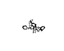 CC(F)(F)c1cccc(C(CC(=O)N2CCCCC2)Nc2nc3ccccc3[nH]2)c1